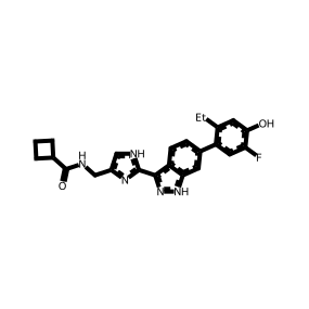 CCc1cc(O)c(F)cc1-c1ccc2c(-c3nc(CNC(=O)C4CCC4)c[nH]3)n[nH]c2c1